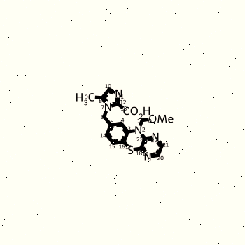 COCN1c2cc(Cn3c(C)[c]nc3C(=O)O)ccc2Sc2nccnc21